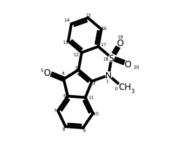 CN1C2=C(C(=O)c3ccccc32)c2ccccc2S1(=O)=O